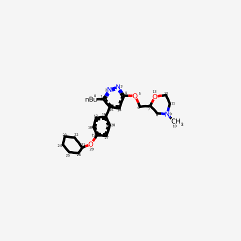 CCCCc1nnc(OCC2CN(C)CCO2)cc1-c1ccc(OC2CCCCC2)cc1